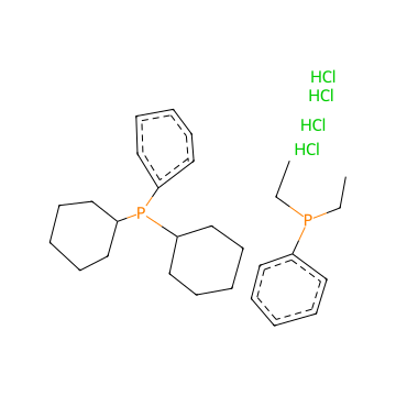 CCP(CC)c1ccccc1.Cl.Cl.Cl.Cl.c1ccc(P(C2CCCCC2)C2CCCCC2)cc1